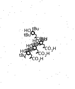 C=C(Cc1cc(C(C)(C)C)c(O)c(C(C)(C)C)c1)C(=O)O.C=C(Cc1cc(C(C)(C)C)c(O)c(C(C)(C)C)c1)C(=O)O.C=C(Cc1cc(C(C)(C)C)c(O)c(C(C)(C)C)c1)C(=O)O.C=C(Cc1cc(C(C)(C)C)c(O)c(C(C)(C)C)c1)C(=O)O.CC